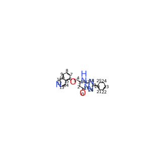 O=C1CC(COc2cccc3cnccc23)Nc2nc(C3=CC=CCC3)nn21